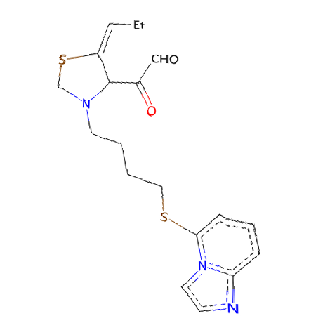 CCC=C1SCN(CCCCSc2cccc3nccn23)C1C(=O)C=O